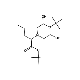 CCCC(C(=O)OC(C)(C)C)N(CCO)C[C@H](O)OC(C)(C)C